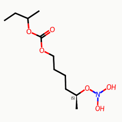 CCC(C)OC(=O)OCCCC[C@H](C)ON(O)O